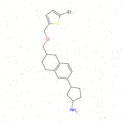 CCc1ccc(COCC2CCc3cc(C4CCC(N)C4)ccc3C2)s1